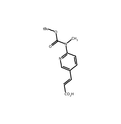 CN(C(=O)OC(C)(C)C)c1ccc(/C=C/C(=O)O)cn1